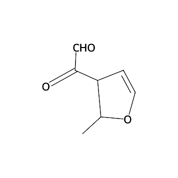 CC1OC=CC1C(=O)C=O